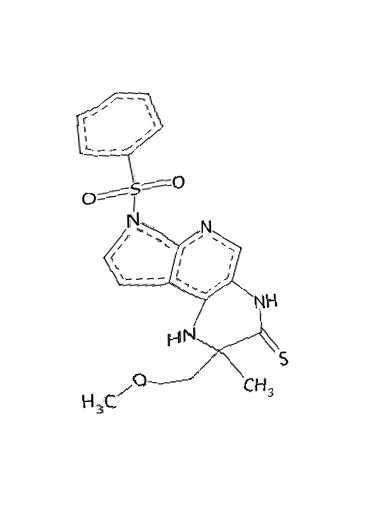 COCC1(C)Nc2c(cnc3c2ccn3S(=O)(=O)c2ccccc2)NC1=S